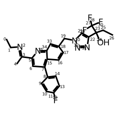 CC/N=C(\C)c1cc(-c2ccc(F)cc2)c2ccc(Cn3cc(C(O)(CC)C(F)(F)F)nn3)cc2n1